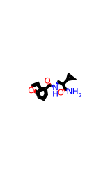 NC(=O)C(CNC(=O)c1cccc2occc12)C1CC1